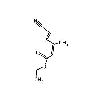 CCOC(=O)C=C(C)C=CC#N